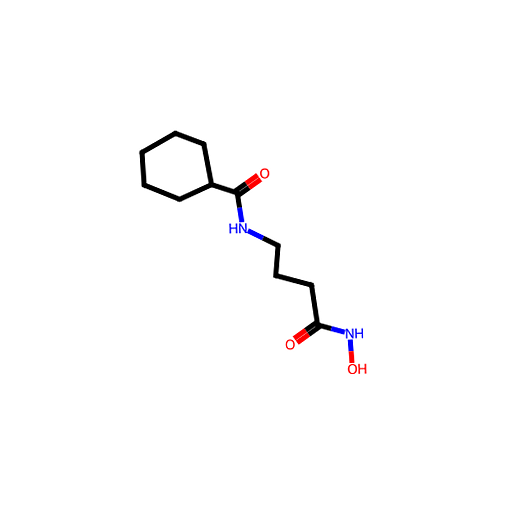 O=C(CCCNC(=O)C1CCCCC1)NO